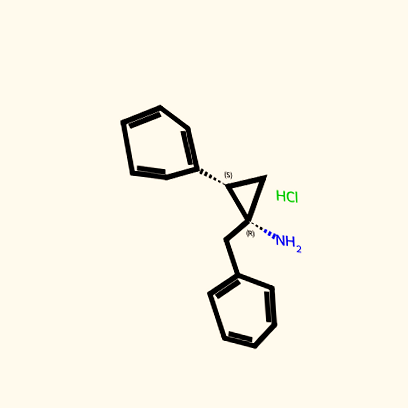 Cl.N[C@@]1(Cc2ccccc2)C[C@H]1c1ccccc1